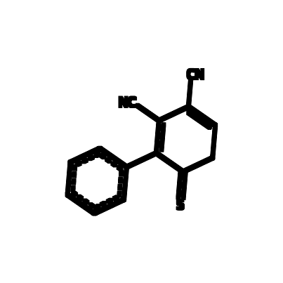 N#CC1=CCC(=S)C(c2ccccc2)=C1C#N